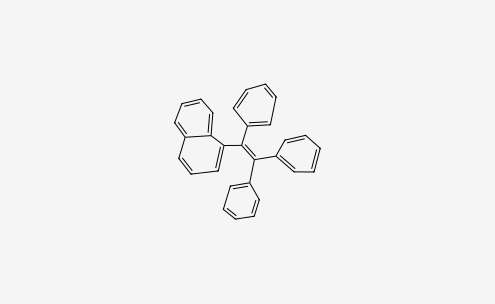 c1ccc(C(=C(c2ccccc2)c2cccc3ccccc23)c2ccccc2)cc1